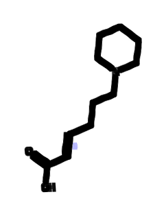 O=C(O)/C=C/CCCN1CCCCC1